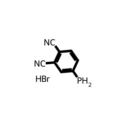 Br.N#Cc1ccc(P)cc1C#N